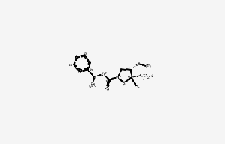 CCC(OC(=O)N1C[C@H](CF)[C@@](C)(C(=O)O)C1)c1ccccc1